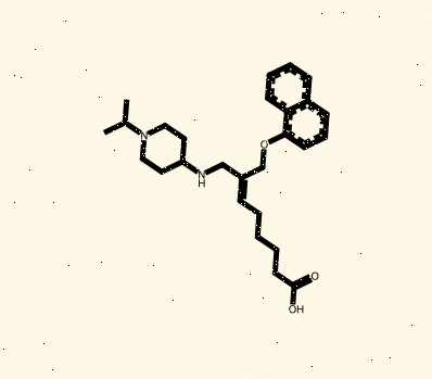 CC(C)N1CCC(NC/C(=C/CCCCC(=O)O)COc2cccc3ccccc23)CC1